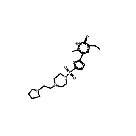 CCc1cc(-c2ccc(S(=O)(=O)N3CCN(CCN4CCCC4)CC3)s2)c(C)[nH]c1=O